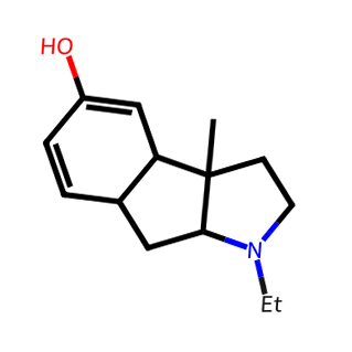 CCN1CCC2(C)C3C=C(O)C=CC3CC12